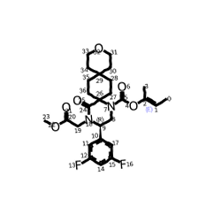 C/C=C(\C)OC(=O)N1C[C@@H](c2cc(F)cc(F)c2)N(CC(=O)OC)C(=O)C12CCC1(CCOCC1)CC2